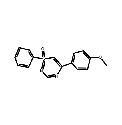 COc1ccc(C2=CS(=O)(c3ccccc3)=NC=N2)cc1